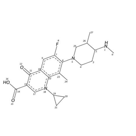 CNC1CCN(c2c(F)cc3c(=O)c(C(=O)O)cn(C4CC4)c3c2C)CC1C